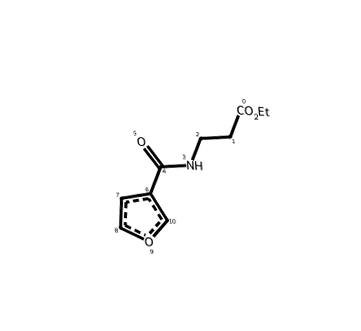 CCOC(=O)CCNC(=O)c1ccoc1